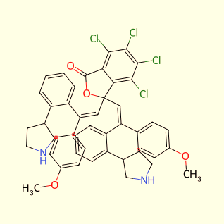 COc1ccc(C(=CC2(C=C(c3ccc(OC)cc3)c3ccccc3C3CCNC3)OC(=O)c3c(Cl)c(Cl)c(Cl)c(Cl)c32)c2ccccc2C2CCNC2)cc1